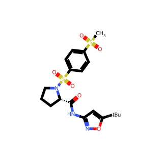 CC(C)(C)c1cc(NC(=O)[C@@H]2CCCN2S(=O)(=O)c2ccc(S(C)(=O)=O)cc2)no1